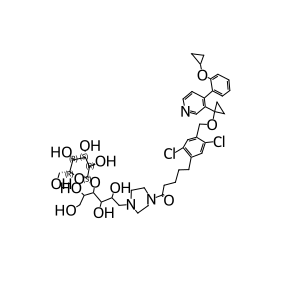 O=C(CCCCc1cc(Cl)c(COC2(c3cnccc3-c3ccccc3OC3CC3)CC2)cc1Cl)N1CCN(CC(O)C(O)C(O[C@@H]2O[C@H](CO)[C@H](O)[C@H](O)[C@H]2O)C(O)CO)CC1